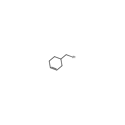 CC(C)CC1CC=CCC1